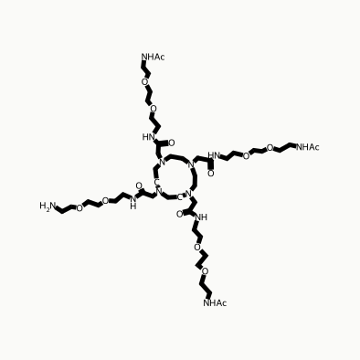 CC(=O)NCCOCCOCCNC(=O)CN1CCN(CC(=O)NCCOCCOCCN)CCN(CC(=O)NCCOCCOCCNC(C)=O)CCN(CC(=O)NCCOCCOCCNC(C)=O)CC1